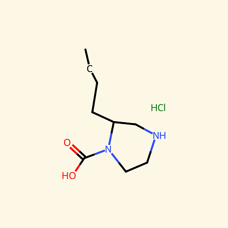 CCCCC1CNCCN1C(=O)O.Cl